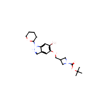 CC(C)(C)OC(=O)N1CC(COc2cc3cnn(C4CCCCO4)c3cc2Br)C1